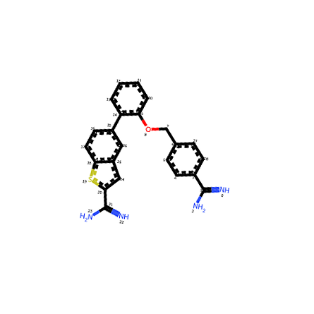 N=C(N)c1ccc(COc2ccccc2-c2ccc3sc(C(=N)N)cc3c2)cc1